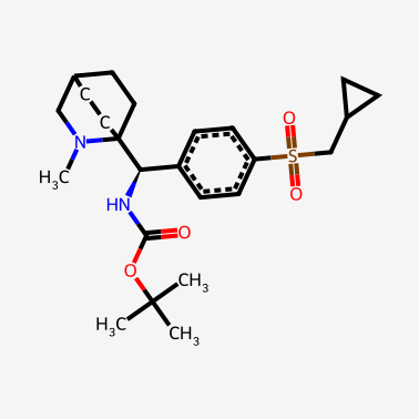 CN1CC2CCC1([C@H](NC(=O)OC(C)(C)C)c1ccc(S(=O)(=O)CC3CC3)cc1)CC2